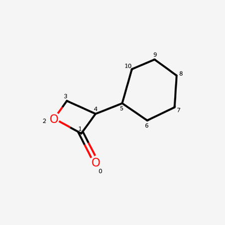 O=C1OCC1C1CCCCC1